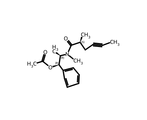 CC#CC[C@H](C)C(=O)N(C)[C@H](C)[C@H](OC(C)=O)c1ccccc1